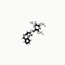 Cc1nc(C)c(COc2cc3ncc4ccccc4n3n2)nc1C